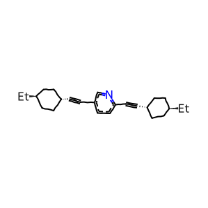 CC[C@H]1CC[C@H](C#Cc2ccc(C#C[C@H]3CC[C@H](CC)CC3)nc2)CC1